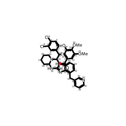 CCC(c1ccc(Cl)c(Cl)c1)C(N(C)C(=O)c1cc(OC)c(OC)c(OC)c1)N1CCCCC1Nc1nc2c(Cc3cccnc3)cccc2[nH]1